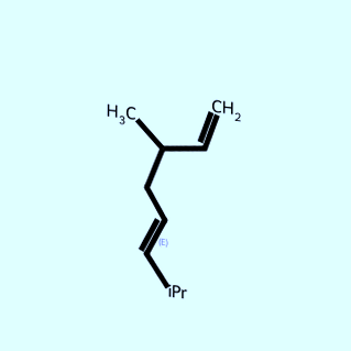 C=CC(C)C/C=C/C(C)C